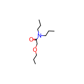 CCCOCC(=O)N(CCC)CCC